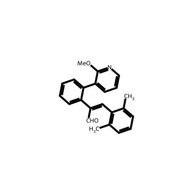 COc1ncccc1-c1ccccc1C(C=O)=Cc1c(C)cccc1C